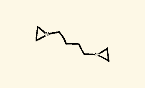 C(CCN1CC1)CN1CC1